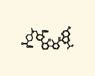 COC(=O)C1CCC(N(C)Cc2ccc(-c3cccc(-c4cccc(Nc5nc(C(F)F)nc6cc(Br)cnc56)c4C)c3Cl)nc2OC)CC1